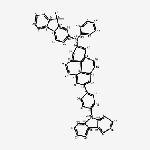 CC1(C)c2ccccc2-c2ccc(N(c3ccccc3)c3cc4ccc5cc(-c6ccc(-n7c8ccccc8c8ccccc87)cc6)cc6ccc(c3)c4c56)cc21